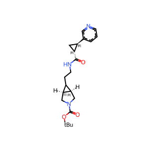 CC(C)(C)OC(=O)N1C[C@@H]2C(CCNC(=O)[C@@H]3C[C@H]3c3cccnc3)[C@@H]2C1